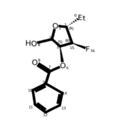 CC[C@H]1OC(O)[C@H](OC(=O)c2ccccc2)[C@@H]1F